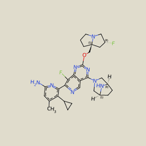 Cc1cc(N)nc(-c2ncc3c(N4C[C@H]5CC[C@@H](C4)N5)nc(OC[C@@]45CCCN4C[C@H](F)C5)nc3c2F)c1C1CC1